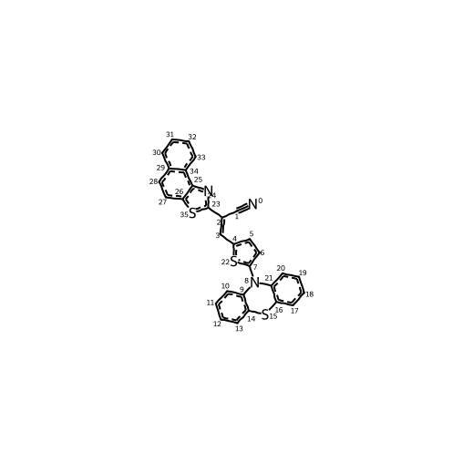 N#C/C(=C\c1ccc(N2c3ccccc3Sc3ccccc32)s1)c1nc2c(ccc3ccccc32)s1